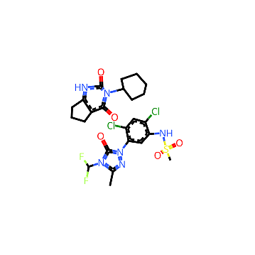 Cc1nn(-c2cc(NS(C)(=O)=O)c(Cl)cc2Cl)c(=O)n1C(F)F.O=c1[nH]c2c(c(=O)n1C1CCCCC1)CCC2